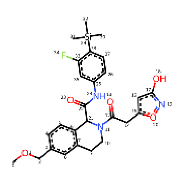 COCc1ccc2c(c1)CCN(C(=O)Cc1cc(O)no1)C2C(=O)Nc1ccc([Si](C)(C)C)c(F)c1